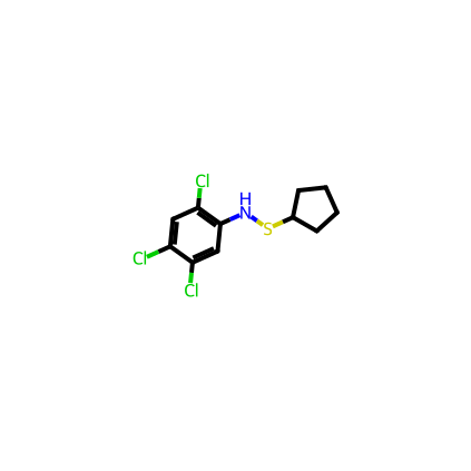 Clc1cc(Cl)c(NSC2CCCC2)cc1Cl